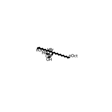 Br.CCCCCCCC/C=C\CCCCCCCCCC(CCCCCCCC/C=C\CCCCCCCC)CN(CCO)CC(O)O